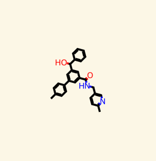 Cc1ccc(-c2cc(C(=O)NCc3ccc(C)nc3)cc(C(O)c3ccccc3)c2)cc1